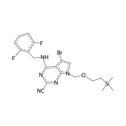 C[Si](C)(C)CCOCn1cc(Br)c2c(NCc3c(F)cccc3F)nc(C#N)nc21